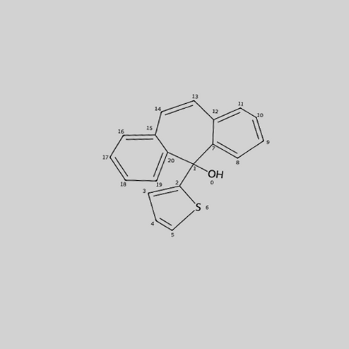 OC1(c2cccs2)c2ccccc2C=Cc2ccccc21